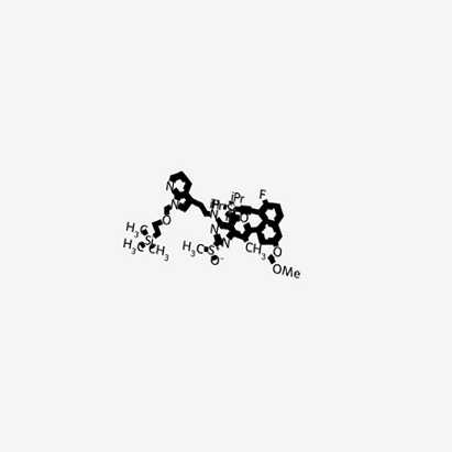 COCOc1cc(-c2oc(=O)c3c(NCCc4cn(COCC[Si](C)(C)C)c5ncccc45)nc([S+](C)[O-])nc3c2C)c2c(C#C[Si](C(C)C)(C(C)C)C(C)C)c(F)ccc2c1